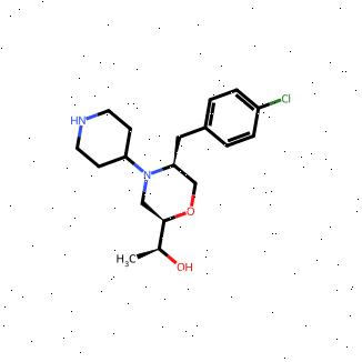 C[C@H](O)[C@H]1CN(C2CCNCC2)[C@@H](Cc2ccc(Cl)cc2)CO1